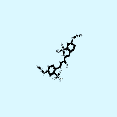 [N-]=[N+]=Nc1ccc(/C=C/C(=O)/C=C/c2ccc(N=[N+]=[N-])cc2S(=O)(=O)O)c(S(=O)(=O)O)c1